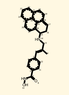 CC(=Cc1ccc(C(=O)NO)cc1)CNC1CC=c2ccc3cccc4ccc1c2c43